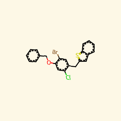 Clc1cc(OCc2ccccc2)c(Br)cc1Cc1cc2ccccc2s1